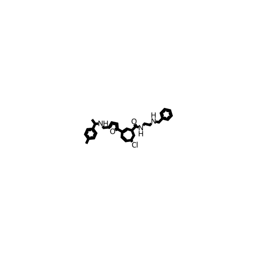 Cc1ccc(C(C)NCc2ccc(C3=CC(C(=O)NCCNCc4ccccc4)CC(Cl)C=C3)o2)cc1